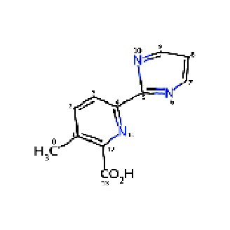 Cc1ccc(-c2ncccn2)nc1C(=O)O